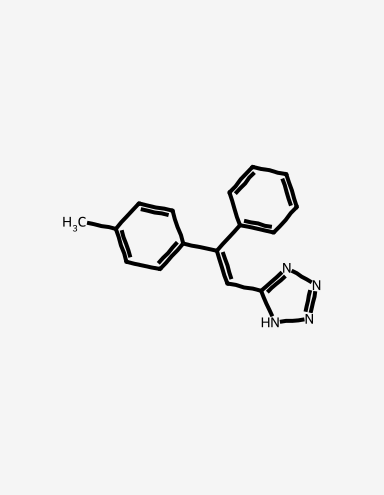 Cc1ccc(C(=Cc2nnn[nH]2)c2ccccc2)cc1